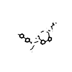 C[C@@H]1NC(=O)[C@@H](N(C)C(=O)[C@H](CCCCN)NC(=O)c2ccc(-c3ccc(Cl)cc3)cc2)c2ccc(O)c(c2)-c2cc(ccc2O)C[C@@H](C(=O)N[C@@H](C)C(=O)c2c[nH]cn2)NC1=O